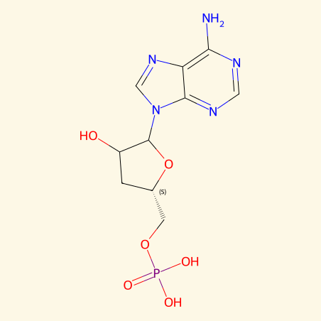 Nc1ncnc2c1ncn2C1O[C@H](COP(=O)(O)O)CC1O